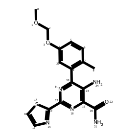 COCOc1ccc(C)c(-c2nc(-c3nccs3)nc(C(N)=O)c2N)c1